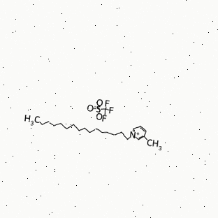 CCCCCCCCCCCCCCCC[n+]1cccc(C)c1.O=S(=O)([O-])C(F)(F)F